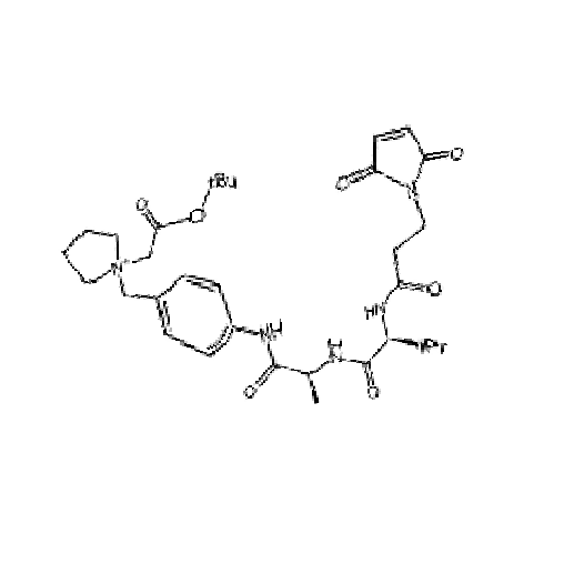 CC(C)[C@H](NC(=O)CCN1C(=O)C=CC1=O)C(=O)N[C@@H](C)C(=O)Nc1ccc(C[N+]2(CC(=O)OC(C)(C)C)CCCC2)cc1